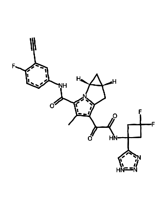 C#Cc1cc(NC(=O)c2c(C)c(C(=O)C(=O)NC3(c4c[nH]nn4)CC(F)(F)C3)c3n2[C@@H]2C[C@@H]2C3)ccc1F